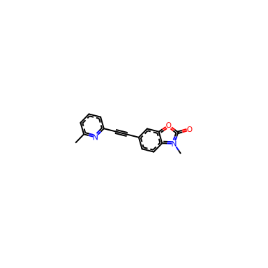 Cc1cccc(C#Cc2ccc3c(c2)oc(=O)n3C)n1